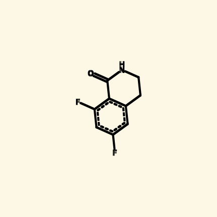 O=C1NCCc2cc(F)cc(F)c21